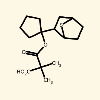 CC(C)(C(=O)O)C(=O)OC1(C2CC3CCC2S3)CCCC1